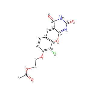 CC(=O)OCCOc1ccc2cc3c(=O)[nH]c(=O)nc-3oc2c1Cl